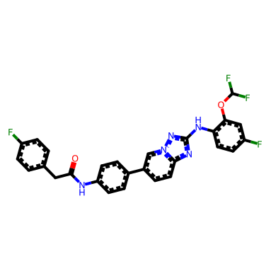 O=C(Cc1ccc(F)cc1)Nc1ccc(-c2ccc3nc(Nc4ccc(F)cc4OC(F)F)nn3c2)cc1